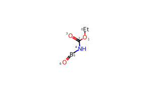 CCOC(=O)NB=O